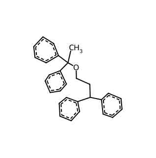 CC(OCCC(c1ccccc1)c1ccccc1)(c1ccccc1)c1ccccc1